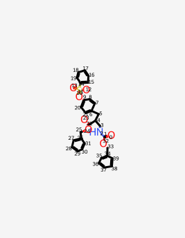 O=C(NCC(Cc1ccc(OS(=O)(=O)c2ccccc2)cc1)C(=O)OCc1ccccc1)OCc1ccccc1